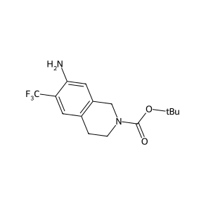 CC(C)(C)OC(=O)N1CCc2cc(C(F)(F)F)c(N)cc2C1